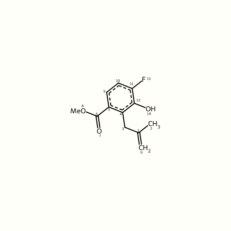 C=C(C)Cc1c(C(=O)OC)ccc(F)c1O